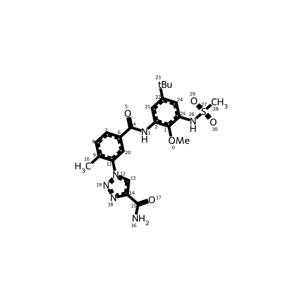 COc1c(NC(=O)c2ccc(C)c(-n3cc(C(N)=O)nn3)c2)cc(C(C)(C)C)cc1NS(C)(=O)=O